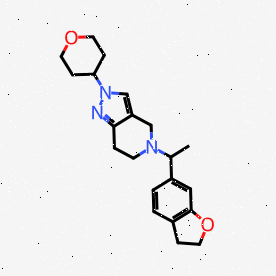 CC(c1ccc2c(c1)OCC2)N1CCc2nn(C3CCOCC3)cc2C1